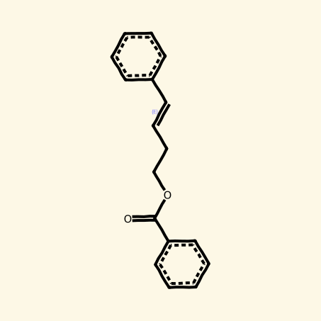 O=C(OCC/C=C/c1ccccc1)c1ccccc1